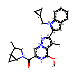 COc1nc(C(=O)N2CC(C)C3CC32)cn2nc(-c3cc4ccccc4n3CC3CC3)c(C)c12